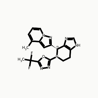 Cc1cccn2nc([C@@H]3c4nc[nH]c4CCN3c3nnc(C(C)(F)F)o3)cc12